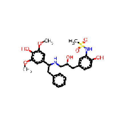 COc1cc(C(Cc2ccccc2)NC[C@@H](O)Cc2ccc(O)c(NS(C)(=O)=O)c2)cc(OC)c1O